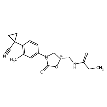 CCC(=O)NC[C@H]1CN(c2ccc(C3(C#N)CC3)c(C)c2)C(=O)O1